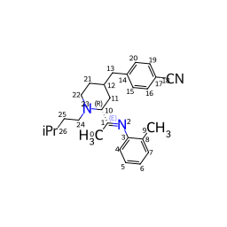 C/C(=N\c1ccccc1C)[C@H]1CC(Cc2ccc(C#N)cc2)CCN1CCC(C)C